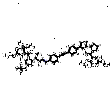 COC(=O)N[C@H](C(=O)N1CN(CC(F)(F)F)C[C@H]1C(=N)N/C=C/c1ccc(C#Cc2ccc(-c3cnc([C@@H]4CCCN4C(=O)[C@@H](NC(=O)OC)C(C)C)[nH]3)cc2)cc1)C(C)C